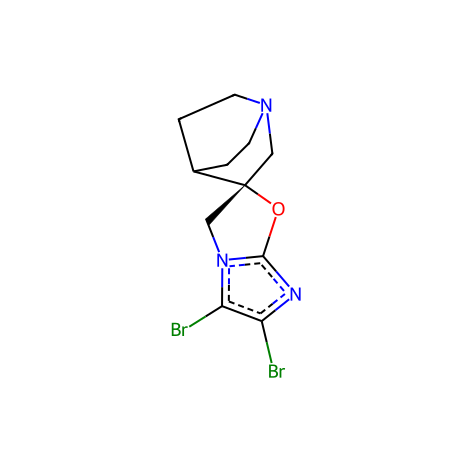 Brc1nc2n(c1Br)C[C@@]1(CN3CCC1CC3)O2